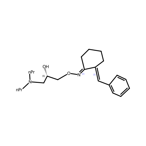 CCCN(CCC)C[C@H](O)CO/N=C1\CCCC\C1=C/c1ccccc1